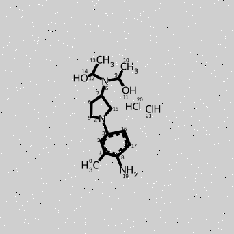 Cc1cc(N2CCC(N(C(C)O)C(C)O)C2)ccc1N.Cl.Cl